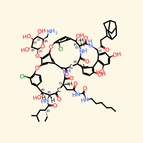 CCCCCCNC(=O)NC(=O)C[C@@H]1CC(=O)[C@H](NC(=O)[C@H](CC)CC(C)C)[C@H](O)c2ccc(c(Cl)c2)Oc2cc3cc(c2O[C@@H]2O[C@H](CN)[C@@H](O)[C@H](O)[C@H]2O)Oc2ccc(cc2Cl)[C@@H](O)[C@@H]2NC(=O)[C@H](CC(=O)C3NC1=O)c1ccc(O)c(c1)-c1c(O)cc(O)cc1[C@@H](C(=O)CC1C3CC4CC(C3)CC1C4)NC2=O